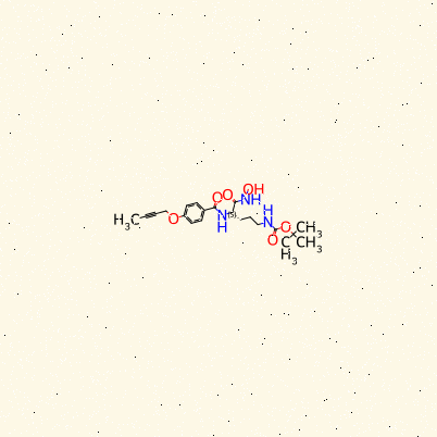 CC#CCOc1ccc(C(=O)N[C@@H](CCCNC(=O)OC(C)(C)C)C(=O)NO)cc1